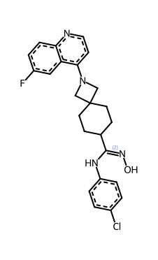 O/N=C(\Nc1ccc(Cl)cc1)C1CCC2(CC1)CN(c1ccnc3ccc(F)cc13)C2